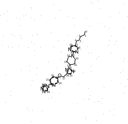 CCCCCc1cnc(N2CCC(n3ncc(COc4ccc(-n5cnnn5)nc4)n3)CC2)nc1